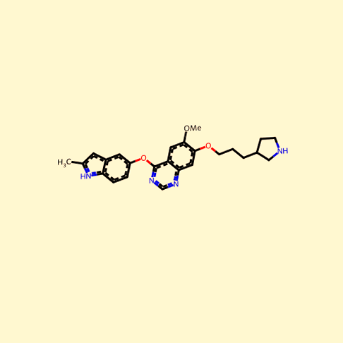 COc1cc2c(Oc3ccc4[nH]c(C)cc4c3)ncnc2cc1OCCCC1CCNC1